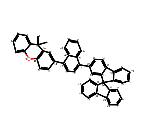 CC1(C)c2ccccc2Oc2ccc(-c3ccc(-c4ccc5c(c4)C4(c6ccccc6-c6ccccc64)c4ccccc4-5)c4ccccc34)cc21